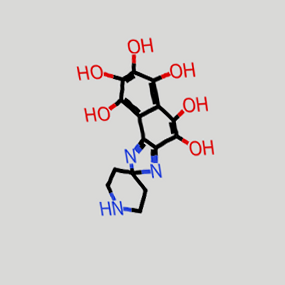 Oc1c(O)c(O)c2c3c(c(O)c(O)c2c1O)=NC1(CCNCC1)N=3